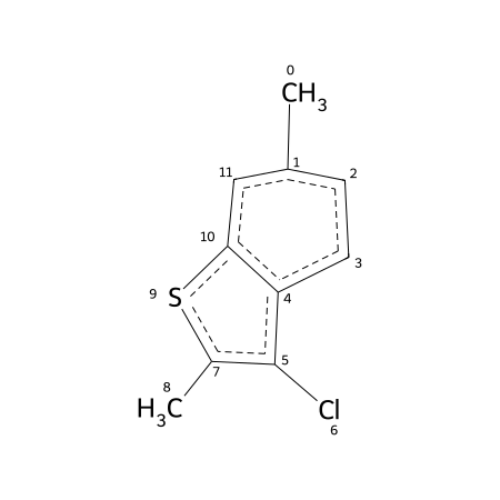 Cc1ccc2c(Cl)c(C)sc2c1